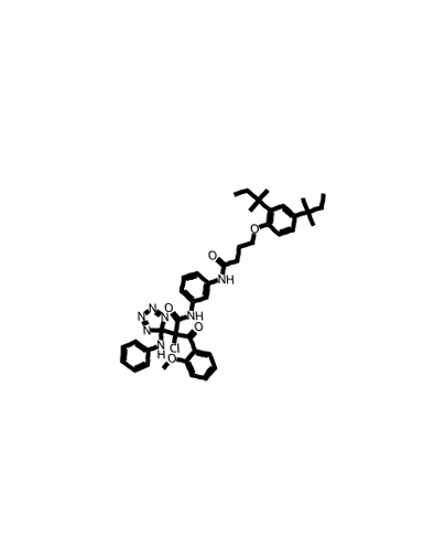 CCC(C)(C)c1ccc(OCCCC(=O)Nc2cccc(NC(=O)C(Cl)(C(=O)c3ccccc3OC)C3(Nc4ccccc4)N=NN=N3)c2)c(C(C)(C)CC)c1